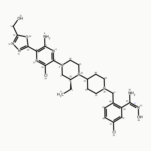 CC[C@H]1CN(c2nc(N)c(-c3nnc(CO)o3)nc2Cl)CCN1C1CCN(Cc2ccc(Cl)cc2/C(N)=N\O)CC1